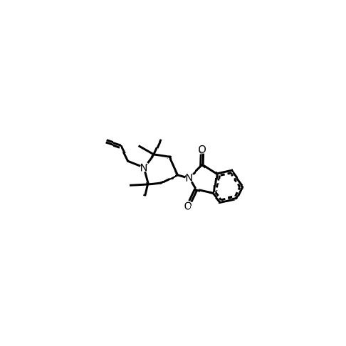 C=CCN1C(C)(C)CC(N2C(=O)c3ccccc3C2=O)CC1(C)C